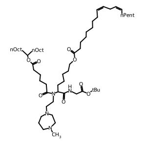 CCCCC/C=C\C/C=C\CCCCCCCC(=O)OCCCCCC(C(=O)NCC(=O)OC(C)(C)C)N(CCN1CCCN(C)CC1)C(=O)CCCCC(=O)OC(CCCCCCCC)CCCCCCCC